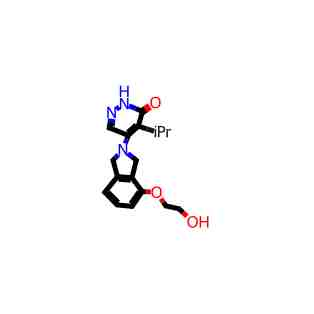 CC(C)c1c(N2Cc3cccc(OCCO)c3C2)cn[nH]c1=O